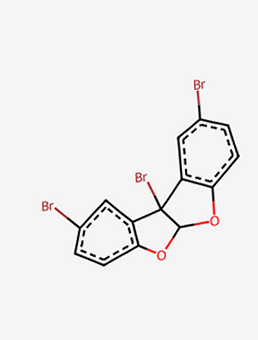 Brc1ccc2c(c1)C1(Br)c3cc(Br)ccc3OC1O2